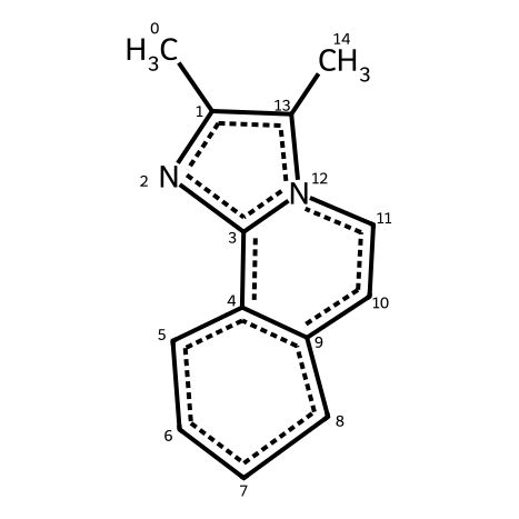 Cc1nc2c3ccccc3ccn2c1C